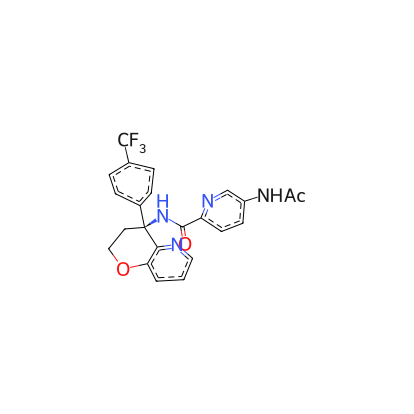 CC(=O)Nc1ccc(C(=O)N[C@]2(c3ccc(C(F)(F)F)cc3)CCOc3cccnc32)nc1